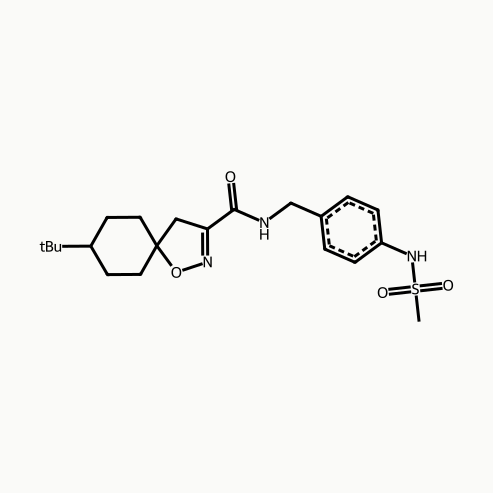 CC(C)(C)C1CCC2(CC1)CC(C(=O)NCc1ccc(NS(C)(=O)=O)cc1)=NO2